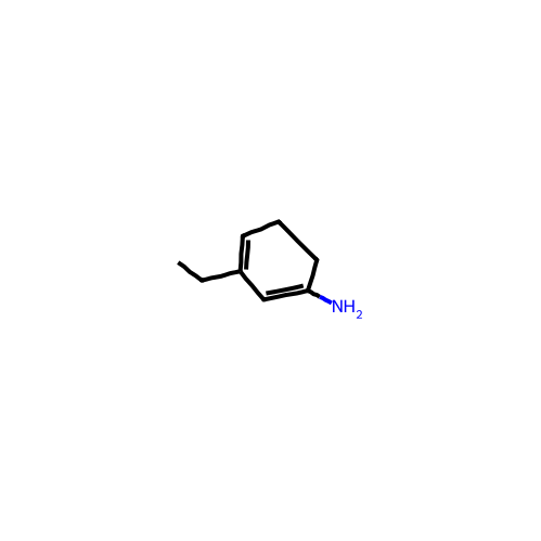 CCC1=CCCC(N)=C1